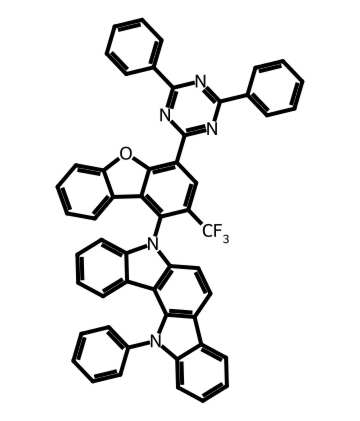 FC(F)(F)c1cc(-c2nc(-c3ccccc3)nc(-c3ccccc3)n2)c2oc3ccccc3c2c1-n1c2ccccc2c2c1ccc1c3ccccc3n(-c3ccccc3)c12